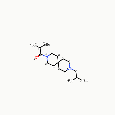 CCCCC(C)CN1CCC2(CC1)CCN(C(=O)C(CCCC)CCCC)CC2